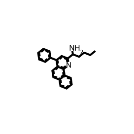 CCCCC(N)c1cc(-c2ccccc2)c2ccc3ccccc3c2n1